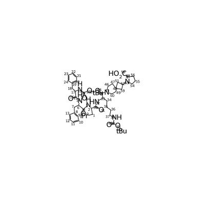 CC(C)CC(NC(=O)C(Cc1ccccc1)NC(=O)C(Cc1ccccc1)NC(=O)OC(C)(C)C)C(=O)NC(CCCCNC(=O)OC(C)(C)C)C(=O)N1CCC2(CC1)CC(N1CCC[C@@H]1C(=O)O)C2